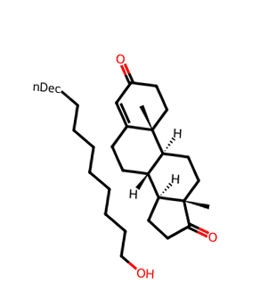 CCCCCCCCCCCCCCCCCCO.C[C@]12CCC(=O)C=C1CC[C@@H]1[C@@H]2CC[C@]2(C)C(=O)CC[C@@H]12